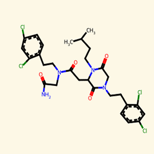 CC(C)CCN1C(=O)CN(CCc2ccc(Cl)cc2Cl)C(=O)C1CC(=O)N(CCc1ccc(Cl)cc1Cl)CC(N)=O